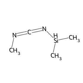 CN=C=N[SiH](C)C